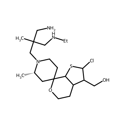 CCNCC(C)(CN)CN1CCC2(C[C@@H]1C)OCCC1C(CO)C(Cl)SC12